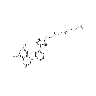 CN1Cc2c(Cl)cc(Cl)cc2[C@H](c2cccc(-c3nnc(CCOCCOCCN)[nH]3)c2)C1